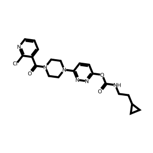 O=C(NCCC1CC1)Oc1ccc(N2CCN(C(=O)c3cccnc3Cl)CC2)nn1